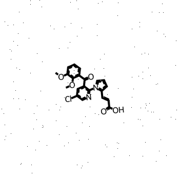 COc1cccc(C(=O)c2cc(Cl)cnc2-n2cccc2C=CC(=O)O)c1OC